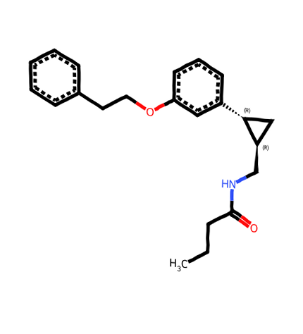 CCCC(=O)NC[C@@H]1C[C@H]1c1cccc(OCCc2ccccc2)c1